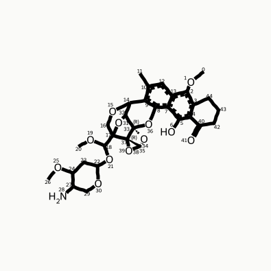 COc1c2c(c(O)c3c4c(c(C)cc13)C1OCC3(C(OC)OC5CC(OC)C(N)CO5)OC1[C@@](OC)(O4)[C@@]31CO1)C(=O)CCC2